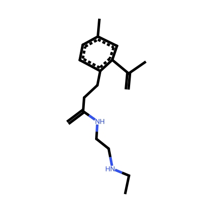 C=C(CCc1ccc(C)cc1C(=C)C)NCCNCC